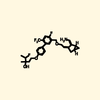 CC(F)C(C)(O)CCOc1ccc(-c2cc(COC/C=C3/C[C@H]4C[C@H]4/C3=C/N)c(F)cc2C(F)(F)F)cc1